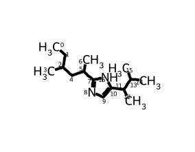 CCC(C)CC(C)c1ncc(C(C)C(C)C)[nH]1